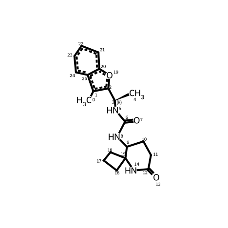 Cc1c([C@@H](C)NC(=O)NC2CCC(=O)NC23CCC3)oc2ccccc12